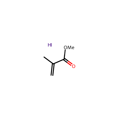 C=C(C)C(=O)OC.I